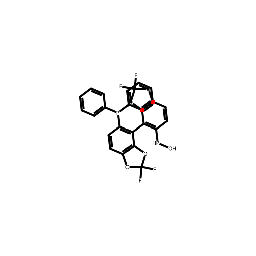 OPc1ccc2c(c1-c1c(P(c3ccccc3)c3ccccc3)ccc3c1OC(F)(F)O3)OC(F)(F)O2